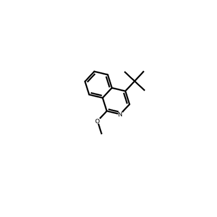 COc1ncc(C(C)(C)C)c2ccccc12